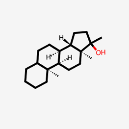 CC1(O)CC[C@H]2[C@@H]3CCC4CCCC[C@]4(C)[C@@H]3CC[C@@]21C